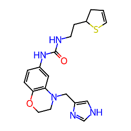 O=C(NCCC1CC=CS1)Nc1ccc2c(c1)N(Cc1c[nH]cn1)CCO2